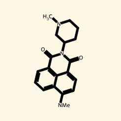 CNc1ccc2c3c(cccc13)C(=O)N(C1CCCN(C)C1)C2=O